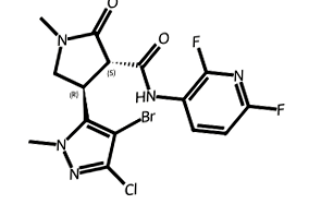 CN1C[C@H](c2c(Br)c(Cl)nn2C)[C@@H](C(=O)Nc2ccc(F)nc2F)C1=O